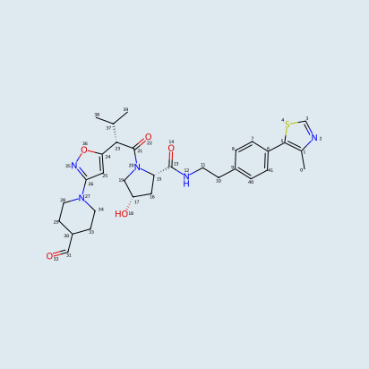 Cc1ncsc1-c1ccc(CCNC(=O)[C@@H]2C[C@H](O)CN2C(=O)[C@H](c2cc(N3CCC(C=O)CC3)no2)C(C)C)cc1